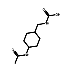 CC(=O)NC1CCC(CNC(=O)O)CC1